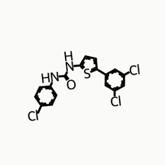 O=C(Nc1ccc(Cl)cc1)Nc1ccc(-c2cc(Cl)cc(Cl)c2)s1